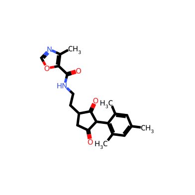 Cc1cc(C)c(C2C(=O)CC(CCNC(=O)c3ocnc3C)C2=O)c(C)c1